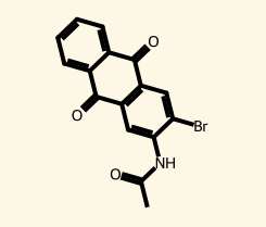 CC(=O)Nc1cc2c(cc1Br)C(=O)c1ccccc1C2=O